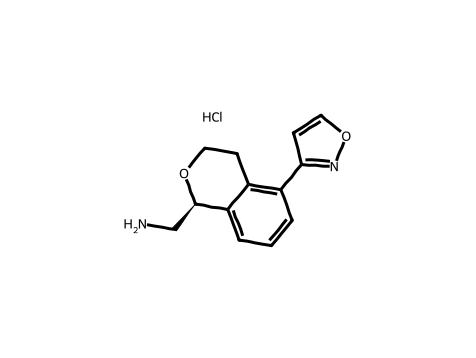 Cl.NC[C@H]1OCCc2c(-c3ccon3)cccc21